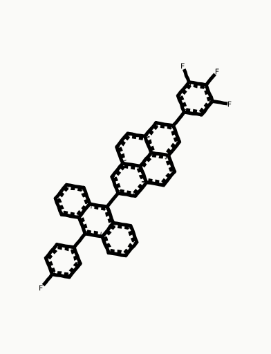 Fc1ccc(-c2c3ccccc3c(-c3cc4ccc5cc(-c6cc(F)c(F)c(F)c6)cc6ccc(c3)c4c56)c3ccccc23)cc1